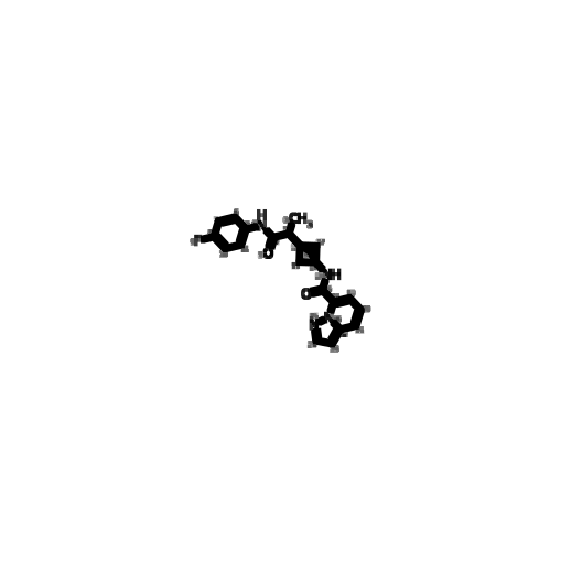 CC(C(=O)Nc1ccc(F)cc1)C12CC(NC(=O)c3cccc4ccnn34)(C1)C2